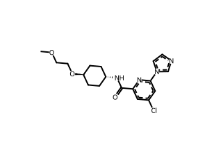 COCCO[C@H]1CC[C@H](NC(=O)c2cc(Cl)cc(-n3ccnc3)n2)CC1